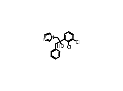 OC(Cc1ccccc1)(Cn1ccnc1)c1cccc(Cl)c1Cl